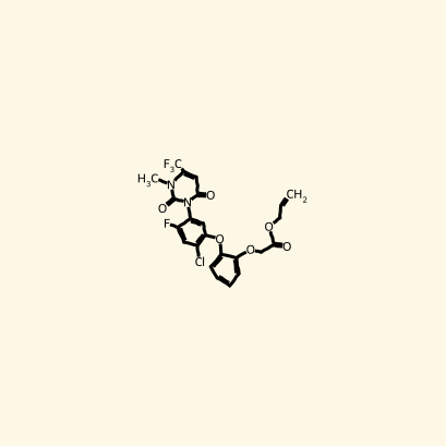 C=CCOC(=O)COc1ccccc1Oc1cc(-n2c(=O)cc(C(F)(F)F)n(C)c2=O)c(F)cc1Cl